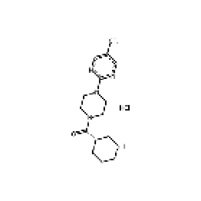 Cl.O=C([C@H]1CCCNC1)N1CCN(c2ncc(C(F)(F)F)cn2)CC1